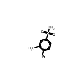 Cc1cc(S(N)(=O)=O)ccc1C(C)C